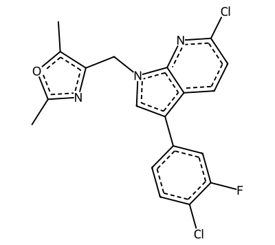 Cc1nc(Cn2cc(-c3ccc(Cl)c(F)c3)c3ccc(Cl)nc32)c(C)o1